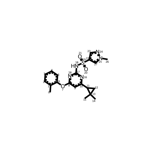 Cc1ccccc1Oc1cc(C2CC2(C)C)nc(NS(=O)(=O)c2cnn(C)c2)n1